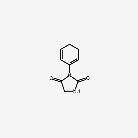 O=C1CNC(=O)N1C1=CCCC=C1